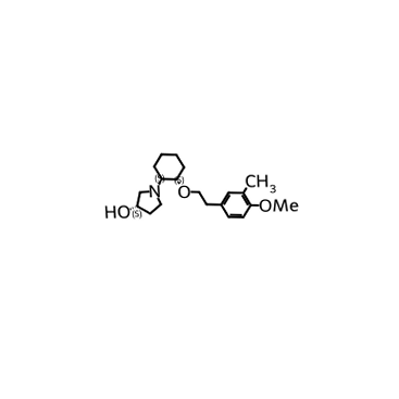 COc1ccc(CCO[C@H]2CCCC[C@@H]2N2CC[C@H](O)C2)cc1C